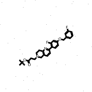 CC(C)(C)OC(=O)CCN1CCc2nc(-c3ccc(OCc4cccc(F)c4)cc3F)ccc2C1